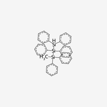 C[Si](c1ccccc1)(c1ccccc1)[Si](c1ccccc1)(c1ccccc1)[SiH](c1ccccc1)c1ccccc1